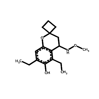 CCc1cc2c(c(CC)c1O)C(NOC)CC1(CCC1)O2